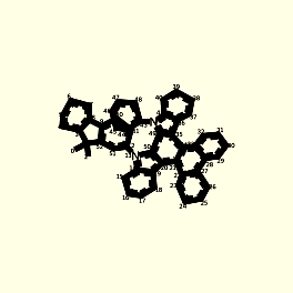 CC1(C)c2ccccc2-c2ccc(-n3c4ccccc4c4c5c6ccccc6c6ccccc6c5c5c6ccccc6n(-c6ccccc6)c5c43)cc21